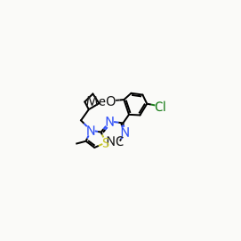 COc1ccc(Cl)cc1C(=NC#N)N=c1scc(C)n1CC1CCC1